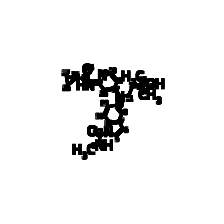 CNC(=O)n1ccc2cc(N(CCC(C)(C)O)c3ccnc(NC(=O)C4CC4)c3)ccc21